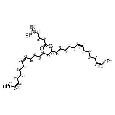 CCC/C=C\CCCC/C=C\CCCCCC(CCCCC/C=C\CCCC/C=C\CCC)OC(=O)CCCN(CC)CC